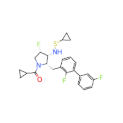 O=C(C1CC1)N1C[C@H](F)[C@H](NSC2CC2)[C@@H]1Cc1cccc(-c2cccc(F)c2)c1F